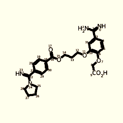 N=C(N)c1ccc(OCC(=O)O)c(OCCCOC(=O)c2ccc(C(=N)N3CCCC3)cc2)c1